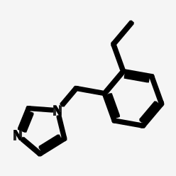 CCc1ccccc1Cn1ccnc1